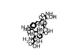 NC(=O)C[C@H](NC(=O)[C@@H](N)[C@@H](S)C(=O)O)C(=O)N1CCC[C@H]1C(=O)N[C@@H](CS)C(=O)N[C@@H](Cc1ccc(O)cc1)C(=O)N[C@@H](CO)C(N)=O